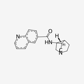 O=C(N[C@H]1CN2CCC1CC2)c1ccc2ncccc2c1